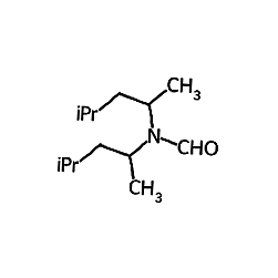 CC(C)CC(C)N(C=O)C(C)CC(C)C